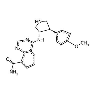 COc1ccc([C@@H]2CNC[C@H]2Nc2ncnc3c(C(N)=O)cccc23)cc1